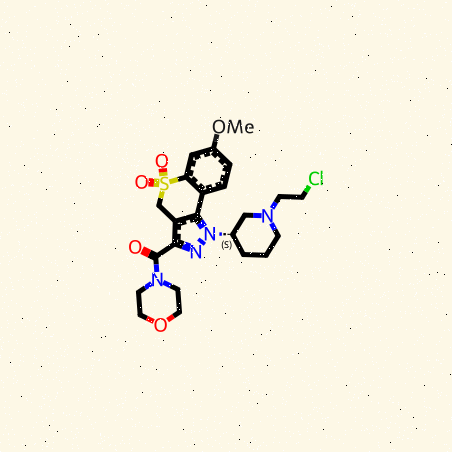 COc1ccc2c(c1)S(=O)(=O)Cc1c(C(=O)N3CCOCC3)nn([C@H]3CCCN(CCCl)C3)c1-2